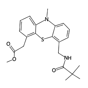 COC(=O)Cc1cccc2c1Sc1c(CNC(=O)C(C)(C)C)cccc1N2C